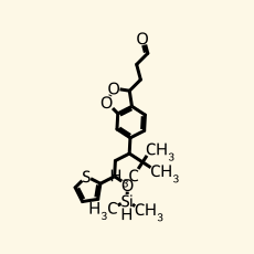 C[SiH](C)OC(CC(c1ccc2c(c1)OOC2CCC=O)C(C)(C)C)c1cccs1